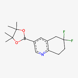 CC1(C)OB(c2cnc3c(c2)CC(F)(F)CC3)OC1(C)C